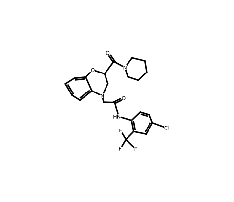 O=C(CN1CC(C(=O)N2CCCCC2)Oc2ccccc21)Nc1ccc(Cl)cc1C(F)(F)F